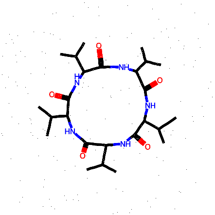 CC(C)C1NC(=O)C(C(C)C)NC(=O)C(C(C)C)NC(=O)C(C(C)C)NC(=O)C(C(C)C)NC1=O